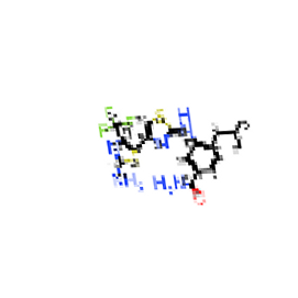 CC(C)Cc1ccc(C(N)=O)cc1Nc1nc(-c2sc(N)nc2C(F)(F)F)cs1